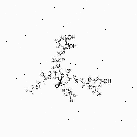 CCCSCCC(=O)OCC(COC(=O)CCSCCC(=O)OC(CC)(CC)CCO)(COC(=O)CCSc1cccc(O)c1O)COC(=O)CCSC(C)(C)C